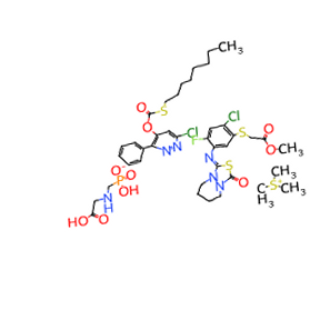 CCCCCCCCSC(=O)Oc1cc(Cl)nnc1-c1ccccc1.COC(=O)CSc1cc(/N=c2\sc(=O)n3n2CCCC3)c(F)cc1Cl.C[S+](C)C.O=C(O)CNCP(=O)([O-])O